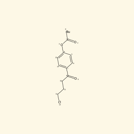 CCC(C)C(=O)Oc1ccc(C(=O)CCCCl)cc1